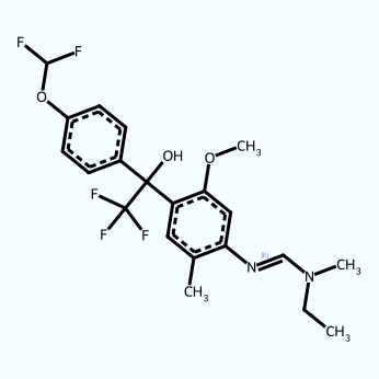 CCN(C)/C=N/c1cc(OC)c(C(O)(c2ccc(OC(F)F)cc2)C(F)(F)F)cc1C